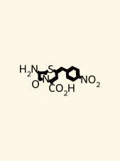 NC1C(=O)N2C(C(=O)O)=CC(=Cc3ccc([N+](=O)[O-])cc3)SC12